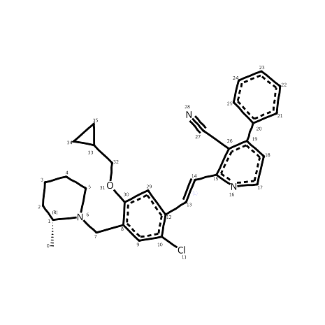 C[C@@H]1CCCCN1Cc1cc(Cl)c(/C=C/c2nccc(-c3ccccc3)c2C#N)cc1OCC1CC1